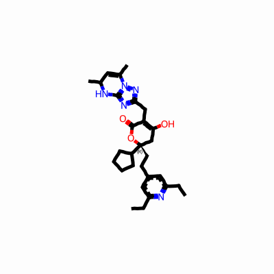 CCc1cc(CC[C@]2(C3CCCC3)CC(O)=C(Cc3nc4n(n3)C(C)=CC(C)N4)C(=O)O2)cc(CC)n1